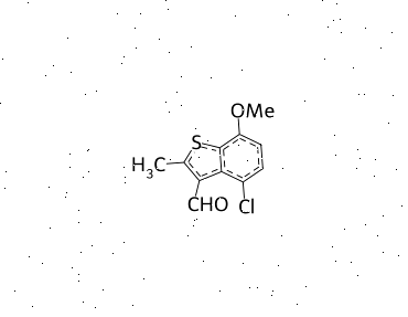 COc1ccc(Cl)c2c(C=O)c(C)sc12